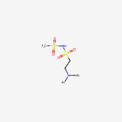 CC(=O)N(CCS(=O)(=O)NS(=O)(=O)C(F)(F)F)C(C)=O